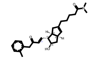 Cc1ccccc1CC(=O)/C=C/[C@@H]1[C@H]2CC(CCCCC(=O)N(C)C)=C[C@H]2C[C@H]1O